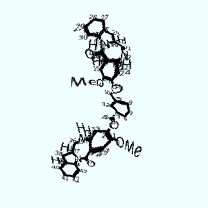 COC1=C(OC[C@H]2CCC=C(COC3=C(OC)C[C@@H]4C(=O)N5[C@H](C=N[C@@H]4C3)CC3CCCC[C@H]35)C2)C[C@@H]2NC[C@@H]3C[C@@H]4CCC=CC4N3C(=O)C2=C1